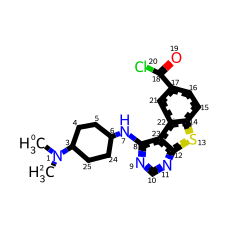 CN(C)C1CCC(Nc2ncnc3sc4ccc(C(=O)Cl)cc4c23)CC1